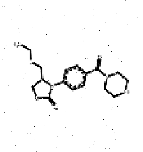 CCOCC1COC(=O)N1c1ccc(C(=O)N2CCNCC2)cc1